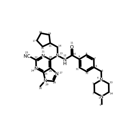 CN1CCN(Cc2ccc(C(=O)NN(CC3CCCC3)c3nc(C#N)nc4c3ncn4C)cc2)CC1